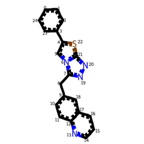 c1ccc(-c2cn3c(Cc4ccc5ncccc5c4)nnc3s2)cc1